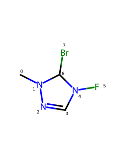 CN1N=CN(F)C1Br